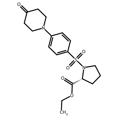 CCOC(=O)[C@H]1CCCN1S(=O)(=O)c1ccc(N2CCC(=O)CC2)cc1